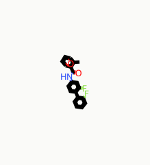 Cc1c(C(=O)Nc2ccc(-c3ccccc3F)c(F)c2)c2ccc1o2